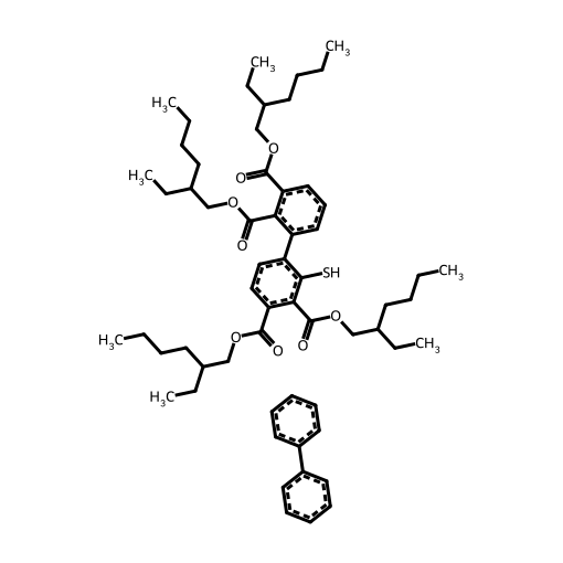 CCCCC(CC)COC(=O)c1cccc(-c2ccc(C(=O)OCC(CC)CCCC)c(C(=O)OCC(CC)CCCC)c2S)c1C(=O)OCC(CC)CCCC.c1ccc(-c2ccccc2)cc1